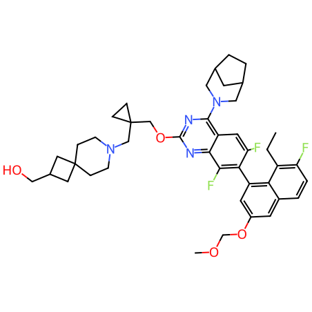 CCc1c(F)ccc2cc(OCOC)cc(-c3c(F)cc4c(N5CC6CCC(C6)C5)nc(OCC5(CN6CCC7(CC6)CC(CO)C7)CC5)nc4c3F)c12